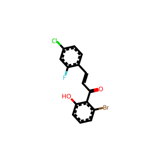 O=C(/C=C/c1ccc(Cl)cc1F)c1c(O)cccc1Br